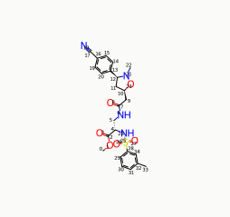 COC(=O)[C@H](CNC(=O)C[C@H]1C[C@@H](c2ccc(C#N)cc2)N(C)O1)NS(=O)(=O)c1cccc(C)c1